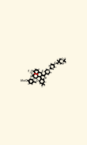 COc1ccc(CO[C@H]2CC(C)(C)Cc3nc(C4CCN(c5ncc(OCC6(C)COC(C)(C)OC6)cn5)CC4)c([C@@H](F)c4ccc(C(F)(F)F)cc4)c(C4CCC(F)(F)CC4)c32)cc1